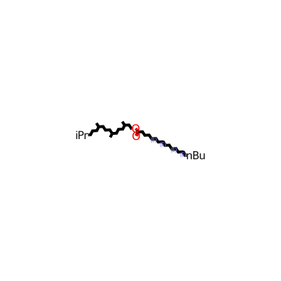 CCCC/C=C/C/C=C/C/C=C/C/C=C/CCCC(=O)OCCC(C)CCCC(C)CCCC(C)CCCC(C)C